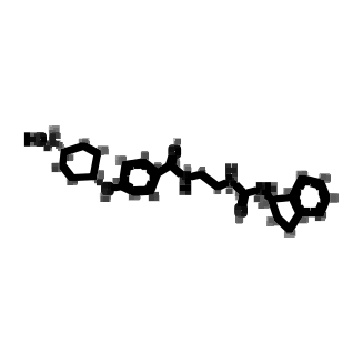 O=C(NCCNC(=O)c1ccc(O[C@H]2CC[C@@H](C(=O)O)CC2)cc1)N[C@@H]1CCc2ccccc21